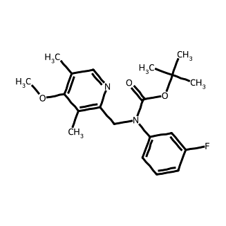 COc1c(C)cnc(CN(C(=O)OC(C)(C)C)c2cccc(F)c2)c1C